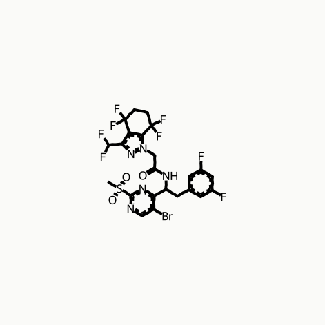 CS(=O)(=O)c1ncc(Br)c(C(Cc2cc(F)cc(F)c2)NC(=O)Cn2nc(C(F)F)c3c2C(F)(F)CCC3(F)F)n1